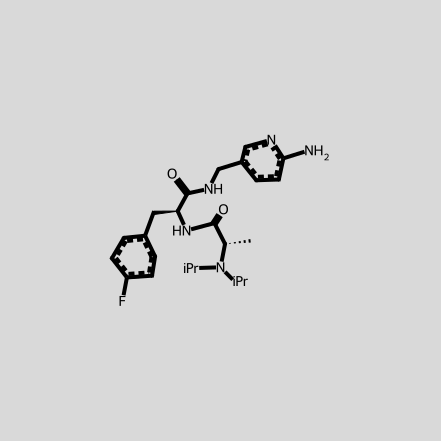 CC(C)N(C(C)C)[C@@H](C)C(=O)N[C@@H](Cc1ccc(F)cc1)C(=O)NCc1ccc(N)nc1